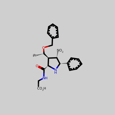 CC(C)[C@H](OCc1ccccc1)[C@H]1[C@H]([N+](=O)[O-])[C@H](c2ccccc2)N[C@@H]1C(=O)NCC(=O)O